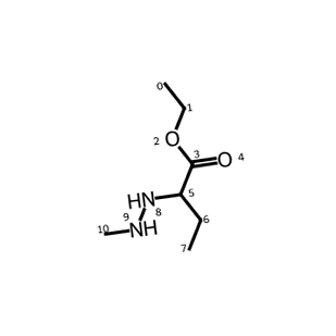 CCOC(=O)C(CC)NNC